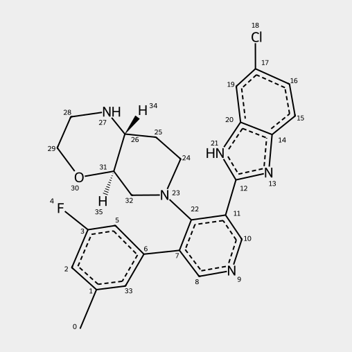 Cc1cc(F)cc(-c2cncc(-c3nc4ccc(Cl)cc4[nH]3)c2N2CC[C@H]3NCCO[C@@H]3C2)c1